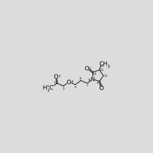 CC(=O)COCCCN1C(=O)CC(C)C1=O